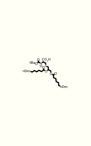 CCCCCCCCCCCCCCCC(=O)OCC(CSC[C@H](NC(=O)OC(C)(C)C)C(=O)O)OC(=O)CCCCCCCCCCCCCCC